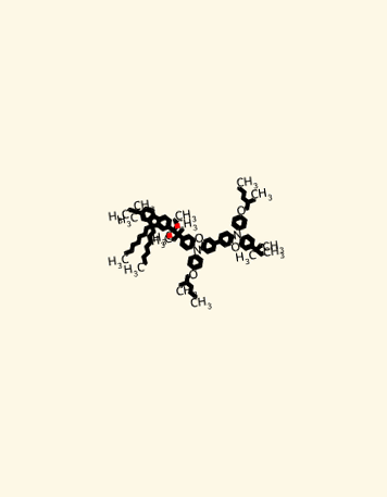 CCCCCCCCC1(CCCCCCCC)c2cc(C(C)(C)CC)ccc2-c2ccc(C(C)(CCC)C(CC)(CC)c3ccc4c(c3)Oc3cc(-c5ccc6c(c5)Oc5cc(C(C)(CC)CC)ccc5N6c5ccc(OCC(CC)CCCC)cc5)ccc3N4c3ccc(OCC(CC)CCCC)cc3)cc21